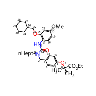 CCCCCCCN(Cc1ccc(OC(C)(C)C(=O)OCC)cc1)C(=O)Nc1ccc(OC)cc1OCC1CCCCC1